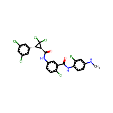 CNc1ccc(NC(=O)c2cc(NC(=O)[C@H]3[C@H](c4cc(Cl)cc(Cl)c4)C3(Cl)Cl)ccc2Cl)c(F)c1